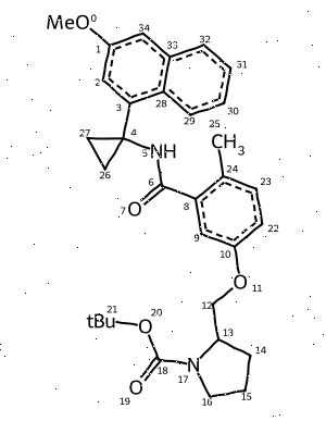 COc1cc(C2(NC(=O)c3cc(OCC4CCCN4C(=O)OC(C)(C)C)ccc3C)CC2)c2ccccc2c1